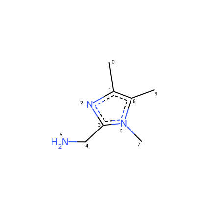 Cc1nc(CN)n(C)c1C